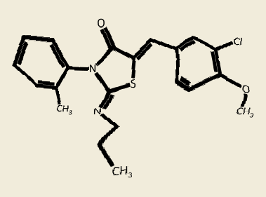 CCC/N=C1\S/C(=C\c2ccc(OC)c(Cl)c2)C(=O)N1c1ccccc1C